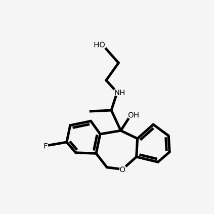 CC(NCCO)C1(O)c2ccc(F)cc2COc2ccccc21